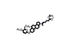 CC(=O)OC[C@H]1OC(O[C@H]2CC[C@@]3(C)C(=CCC4C3CC[C@@]3(C)C4CC[C@@H]3/C(C)=C/CCCC(=O)ON)C2)C=C[C@@H]1OC(C)=O